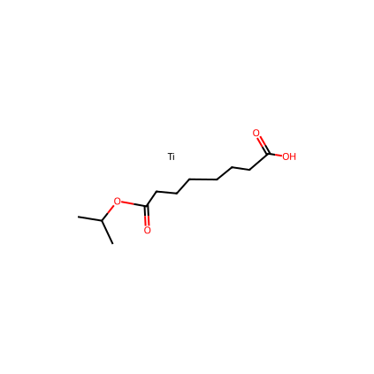 CC(C)OC(=O)CCCCCCC(=O)O.[Ti]